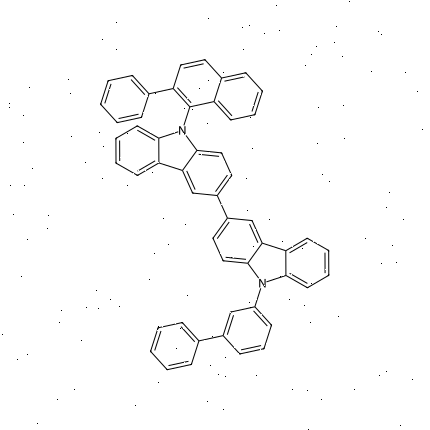 c1ccc(-c2cccc(-n3c4ccccc4c4cc(-c5ccc6c(c5)c5ccccc5n6-c5c(-c6ccccc6)ccc6ccccc56)ccc43)c2)cc1